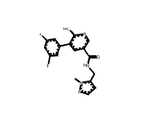 Cn1nccc1CNC(=O)c1cnc(C#N)c(-c2cc(F)cc(F)c2)c1